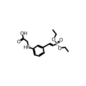 CCOP(=O)(C=Cc1cccc(NCC(=O)O)c1)OCC